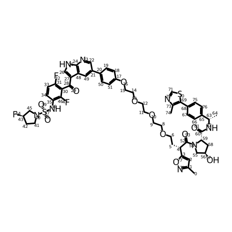 Cc1cc([C@H](CCOCCOCCOCCOc2ccc(-c3cnc4[nH]cc(C(=O)c5c(F)ccc(NS(=O)(=O)N6CC[C@@H](F)C6)c5F)c4c3)cc2)C(=O)N2C[C@H](O)C[C@H]2C(=O)N[C@@H](C)c2ccc(-c3scnc3C)cc2)on1